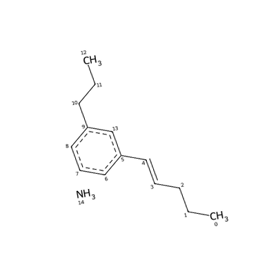 CCCC=Cc1cccc(CCC)c1.N